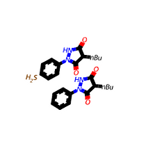 CCCCC1C(=O)NN(c2ccccc2)C1=O.CCCCC1C(=O)NN(c2ccccc2)C1=O.S